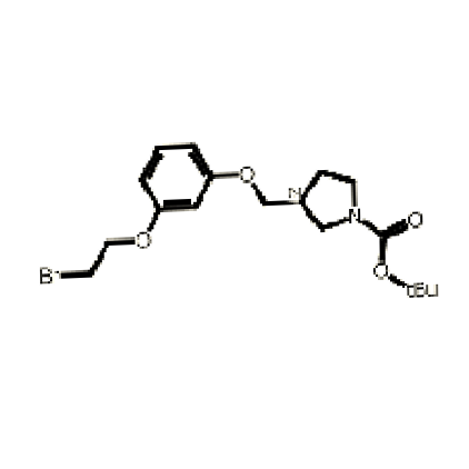 CC(C)(C)OC(=O)N1CC[C@H](COc2cccc(OCCBr)c2)C1